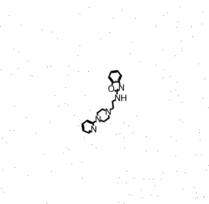 c1ccc(N2CCN(CCNc3nc4ccccc4o3)CC2)nc1